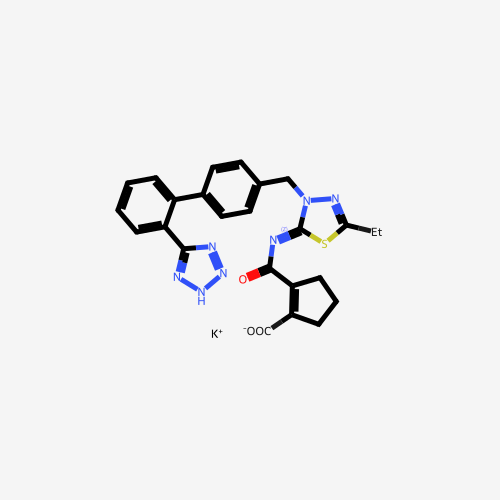 CCc1nn(Cc2ccc(-c3ccccc3-c3nn[nH]n3)cc2)/c(=N/C(=O)C2=C(C(=O)[O-])CCC2)s1.[K+]